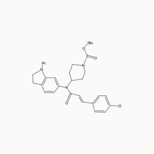 CC(=O)N1CCc2ccc(N(C(=O)C=Cc3ccc(Cl)cc3)C3CCN(C(=O)OC(C)(C)C)CC3)cc21